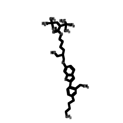 CCCCCc1ccc(-c2cc3ccc(OCC(CO)CCCCOC(=O)C(CC(C)(C)N)C(C)(C)N)cc3s2)c(CC)c1